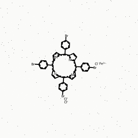 Brc1ccc(-c2c3nc(c(-c4ccc(Br)cc4)c4ccc([nH]4)c(-c4ccc(Br)cc4)c4nc(c(-c5ccc(Br)cc5)c5ccc2[nH]5)C=C4)C=C3)cc1.[Cl-].[Cl-].[Cl-].[Fe+3]